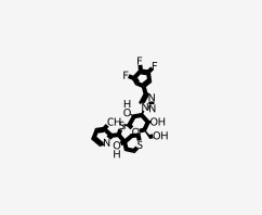 Cc1cccnc1C(S[C@@H]1O[C@H](CO)[C@H](O)[C@H](n2cc(-c3cc(F)c(F)c(F)c3)nn2)[C@H]1O)C1(O)CCSCC1